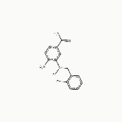 CC(=O)N(Cc1ccccc1Cl)c1cc(C(N)=O)ccc1[N+](=O)[O-]